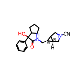 N#CN1CC2[C@H](CNC(=O)C(O)(c3ccccc3)C3CCCC3)[C@H]2C1